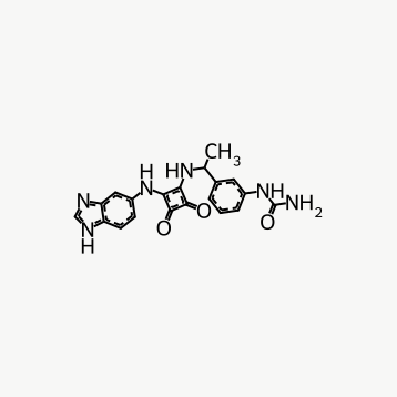 CC(Nc1c(Nc2ccc3[nH]cnc3c2)c(=O)c1=O)c1cccc(NC(N)=O)c1